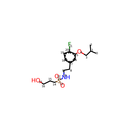 CC(C)COc1cc(CCNS(=O)(=O)CCCO)ccc1F